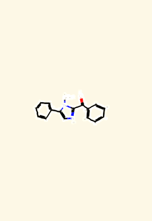 CCCCCCCCn1c(-c2ccccc2)cnc1C(=O)c1ccccc1